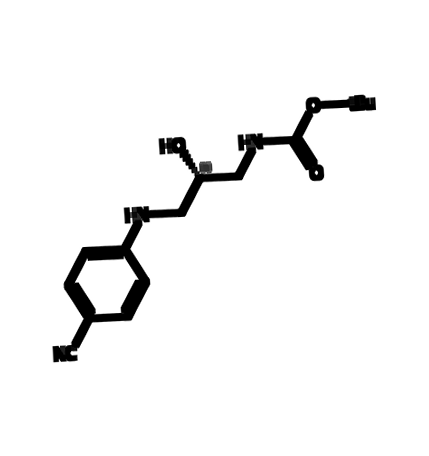 CC(C)(C)OC(=O)NC[C@@H](O)CNc1ccc(C#N)cc1